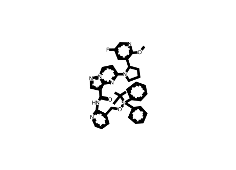 COc1ncc(F)cc1C1CCCN1c1ccn2ncc(C(=O)Nc3ncccc3CO[Si](c3ccccc3)(c3ccccc3)C(C)(C)C)c2n1